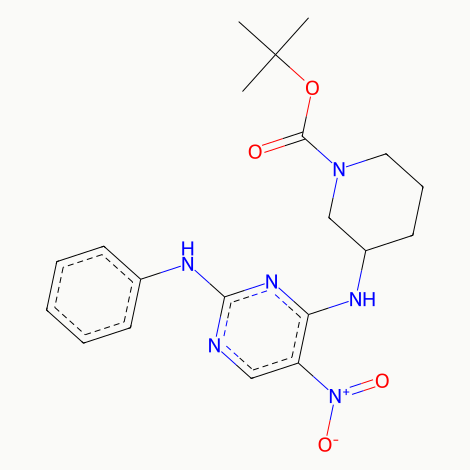 CC(C)(C)OC(=O)N1CCCC(Nc2nc(Nc3ccccc3)ncc2[N+](=O)[O-])C1